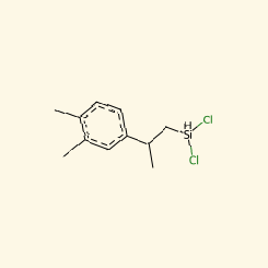 Cc1ccc(C(C)C[SiH](Cl)Cl)cc1C